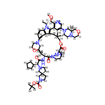 CCn1c(-c2cc(N3CCN4CCOC[C@@H]4C3)cnc2[C@H](C)OC)c2c3cc(ccc31)N1CCO[C@@H](C[C@H](NC(=O)[C@H](C3CCCC3)N3CC[C@]4(CCN(C(=O)OC(C)(C)C)C4)C3)C(=O)N3CCC[C@H](N3)C(=O)OCC(C)(C)C2)C1